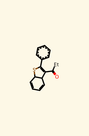 CCC(=O)C1=C(c2ccccc2)SC2C=CC=CC12